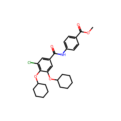 COC(=O)c1ccc(NC(=O)c2cc(Cl)c(OC3CCCCC3)c(OC3CCCCC3)c2)cc1